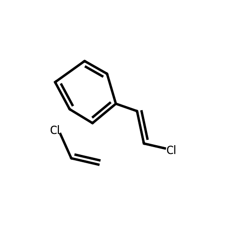 C=CCl.ClC=Cc1ccccc1